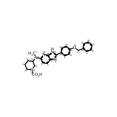 CN(c1ccc2nc(-c3ccc(OCc4ccccc4)cc3)[nH]c2n1)C1CCCN(C(=O)O)C1